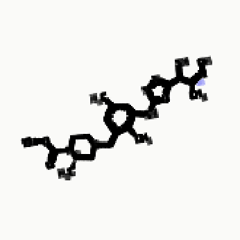 C/C(=N/O)C(=N)c1nnc(Nc2cc(C)cc(CN3CCN(C(=O)OC(C)(C)C)[C@@H](C)C3)c2C)o1